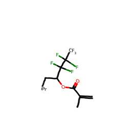 C=C(C)C(=O)OC(CC(C)C)C(F)(F)C(F)(F)C(F)(F)F